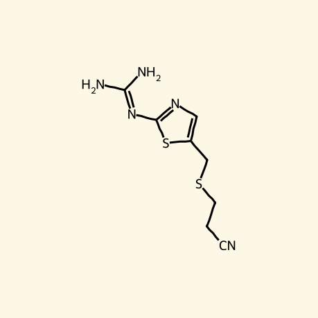 N#CCCSCc1cnc(N=C(N)N)s1